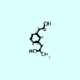 CC(O)Cc1cccc(CCO)c1